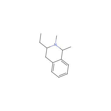 CCC1Cc2ccccc2C(C)N1C